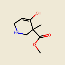 COC(=O)C1(C)CNCC=C1O